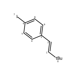 CC(C)(C)/C=C/c1ccc(I)cc1